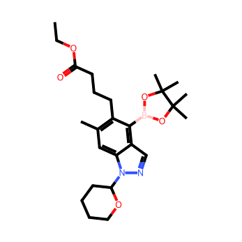 CCOC(=O)CCCc1c(C)cc2c(cnn2C2CCCCO2)c1B1OC(C)(C)C(C)(C)O1